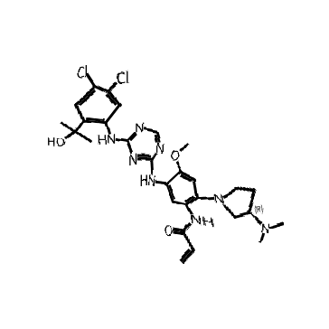 C=CC(=O)Nc1cc(Nc2ncnc(Nc3cc(Cl)c(Cl)cc3C(C)(C)O)n2)c(OC)cc1N1CC[C@@H](N(C)C)C1